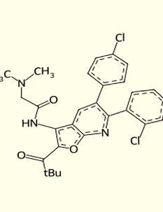 CN(C)CC(=O)Nc1c(C(=O)C(C)(C)C)oc2nc(-c3ccccc3Cl)c(-c3ccc(Cl)cc3)cc12